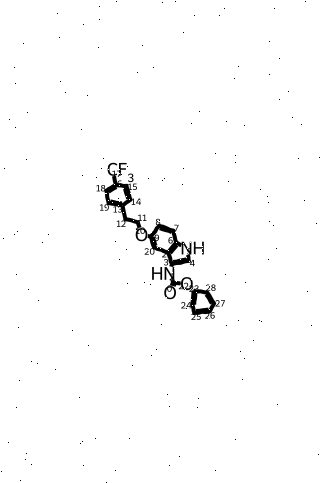 O=C(Nc1c[nH]c2ccc(OCCc3ccc(C(F)(F)F)cc3)cc12)Oc1ccccc1